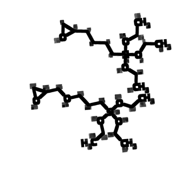 CCO[Si](CCCCC1CO1)(OCC)OCC.CCO[Si](CCCOCC1CO1)(OCC)OCC